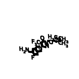 C[Si](C)(C)CCOCn1ncc(N2Cc3cc(F)c(CN)cc3C2)c(C(F)(F)F)c1=O